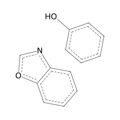 Oc1ccccc1.c1ccc2ocnc2c1